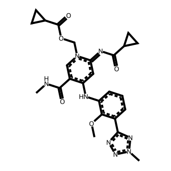 CNC(=O)c1cn(COC(=O)C2CC2)/c(=N/C(=O)C2CC2)cc1Nc1cccc(-c2nnn(C)n2)c1OC